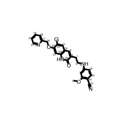 COc1cc(NCCc2cc3cc(Cl)c(OCc4ccccn4)cc3[nH]c2=O)ccc1C#N